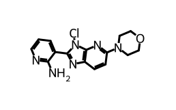 Nc1ncccc1-c1nc2ccc(N3CCOCC3)nc2n1Cl